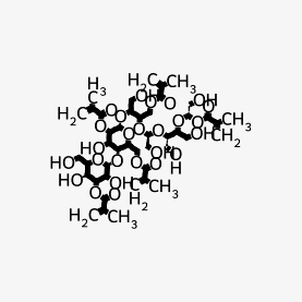 C=C(C)C(=O)OCC(O[C@H](CO)O[C@@H](CO)C(CO)O[C@H](CO)OC(=O)C(=C)C)C(CO)O[C@@H]1OC(COC(=O)C(=C)C)[C@@H](O[C@@H]2OC(CO)[C@@H](O)C(OC(=O)C(=C)C)C2O)C(O)C1OC(=O)C(=C)C